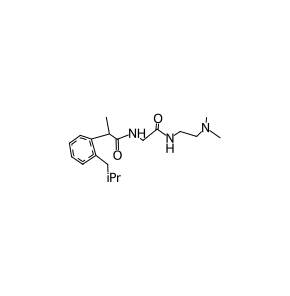 CC(C)Cc1ccccc1C(C)C(=O)NCC(=O)NCCN(C)C